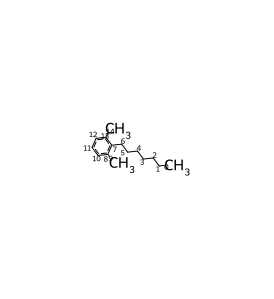 CCCCCCCc1c(C)cccc1C